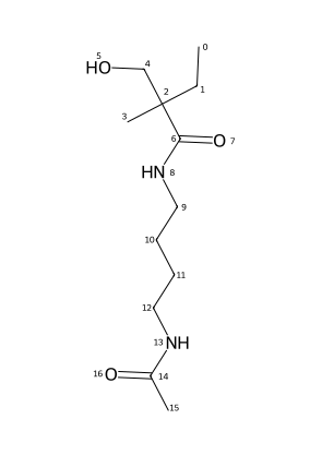 CCC(C)(CO)C(=O)NCCCCNC(C)=O